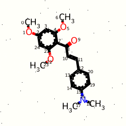 COc1cc(OC)c(C(=O)/C=C/c2ccc(N(C)C)cc2)c(OC)c1